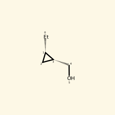 CC[C@H]1C[C@H]1CO